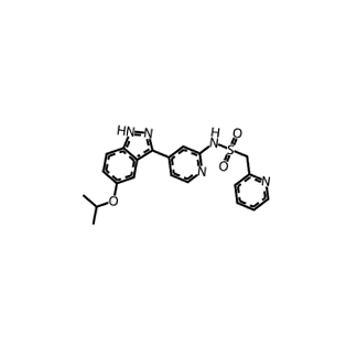 CC(C)Oc1ccc2[nH]nc(-c3ccnc(NS(=O)(=O)Cc4ccccn4)c3)c2c1